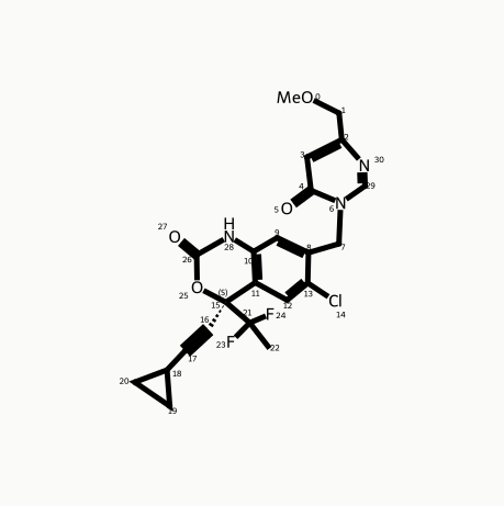 COCc1cc(=O)n(Cc2cc3c(cc2Cl)[C@@](C#CC2CC2)(C(C)(F)F)OC(=O)N3)cn1